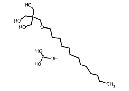 CCCCCCCCCCCCCOCC(CO)(CO)CO.OP(O)O